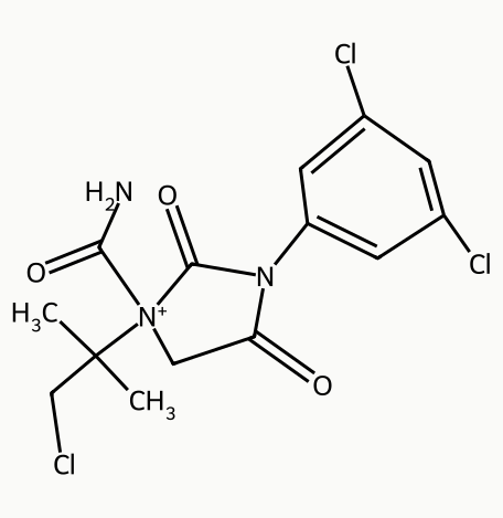 CC(C)(CCl)[N+]1(C(N)=O)CC(=O)N(c2cc(Cl)cc(Cl)c2)C1=O